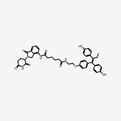 CCC(=C(c1ccc(O)cc1)c1ccc(OCCNC(=O)CCCCC(=O)Nc2cccc3c2CN(C2CCC(=O)NC2=O)C3=O)cc1)c1ccc(O)cc1